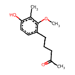 COc1c(CCCC(C)=O)ccc(O)c1C